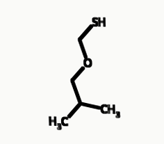 CC(C)COCS